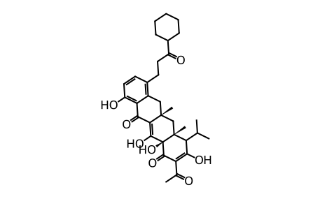 CC(=O)C1=C(O)C(C(C)C)[C@@]2(C)C[C@@]3(C)Cc4c(CCC(=O)C5CCCCC5)ccc(O)c4C(=O)C3=C(O)[C@@]2(O)C1=O